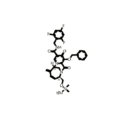 C=C1C=C[C@H](CO[Si](C)(C)C(C)(C)C)N2C[C@H]1n1cc(C(=O)NCc3c(F)cc(F)cc3F)c(=O)c(OCc3ccccc3)c1C2=O